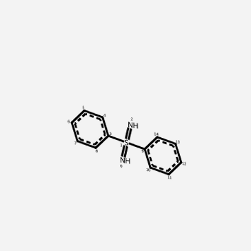 N=S(=N)(c1ccccc1)c1ccccc1